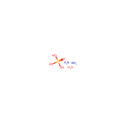 N.N.O.O=P(O)(O)O